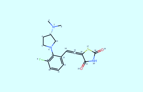 CN(C)[C@H]1CCN(c2c(F)cccc2C=C=C2SC(=O)NC2=O)C1